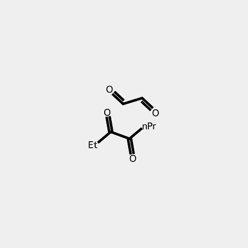 CCCC(=O)C(=O)CC.O=CC=O